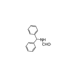 O=[C]NC(c1ccccc1)c1ccccc1